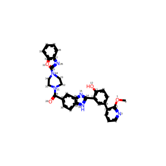 COc1ncccc1-c1ccc(O)c(-c2nc3cc(C(=O)N4CCN(c5nc6ccccc6o5)CC4)ccc3[nH]2)c1